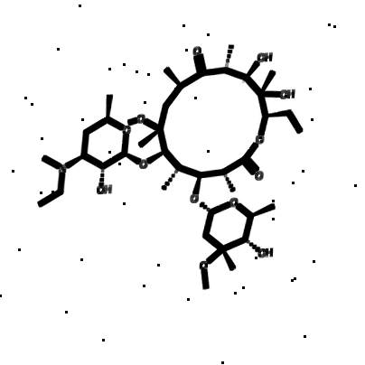 CC[C@H]1OC(=O)[C@H](C)[C@@H](O[C@H]2C[C@@](C)(OC)[C@@H](O)[C@H](C)O2)[C@H](C)[C@@H](O[C@@H]2O[C@H](C)C[C@H](N(C)CC)[C@H]2O)[C@](C)(OC)C[C@@H](C)C(=O)[C@H](C)[C@@H](O)[C@]1(C)O